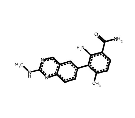 CNc1ncc2cc(-c3c(C)ccc(C(N)=O)c3N)ccc2n1